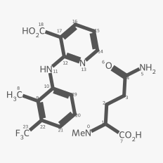 CNC(CCC(N)=O)C(=O)O.Cc1c(Nc2ncccc2C(=O)O)cccc1C(F)(F)F